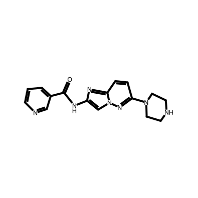 O=C(Nc1cn2nc(N3CCNCC3)ccc2n1)c1cccnc1